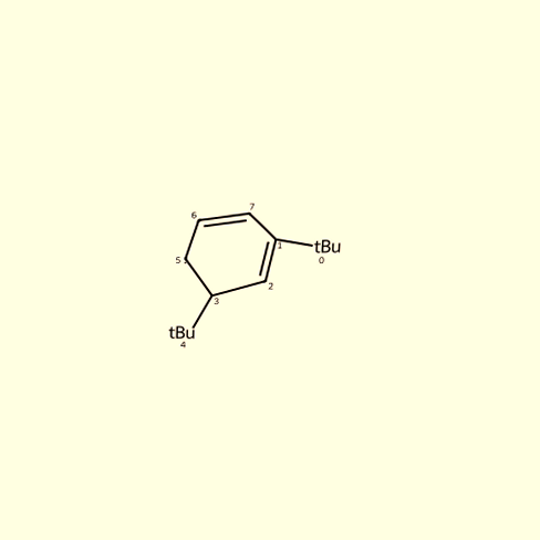 CC(C)(C)C1=CC(C(C)(C)C)[CH]C=C1